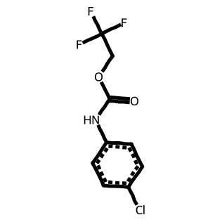 O=C(Nc1ccc(Cl)cc1)OCC(F)(F)F